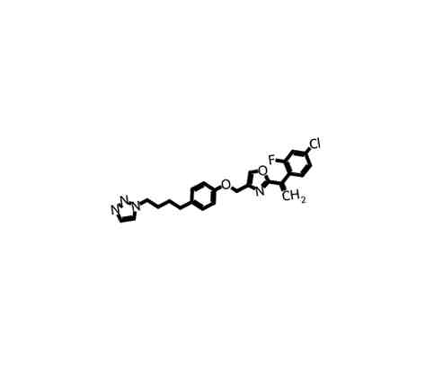 C=C(c1nc(COc2ccc(CCCCn3ccnn3)cc2)co1)c1ccc(Cl)cc1F